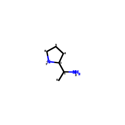 CC(N)C1CCC[N]1